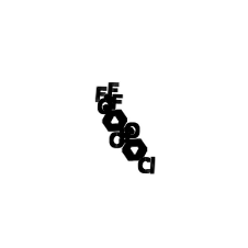 O=S(=O)(c1ccc(Cl)cc1)c1ccc(OC(F)(F)F)cc1